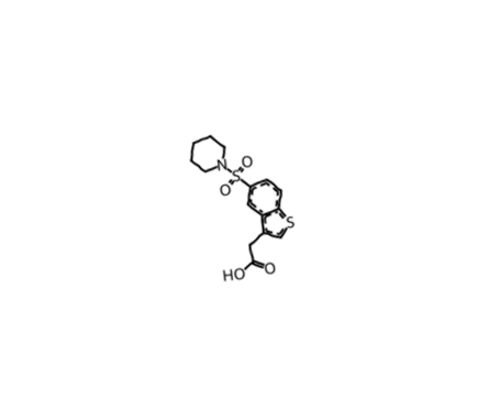 O=C(O)Cc1csc2ccc(S(=O)(=O)N3CCCCC3)cc12